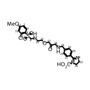 COc1ccc(S(=O)(=O)CNCCOCC(=O)CNCc2ccc(C3=NCCN3C(=O)O)cc2)c(Cl)c1